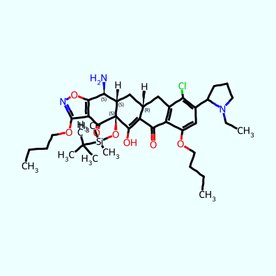 CCCCOc1cc(C2CCCN2CC)c(Cl)c2c1C(=O)C1=C(O)[C@]3(O[Si](C)(C)C(C)(C)C)C(=O)c4c(OCCCC)noc4[C@@H](N)[C@@H]3C[C@@H]1C2